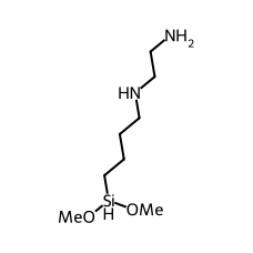 CO[SiH](CCCCNCCN)OC